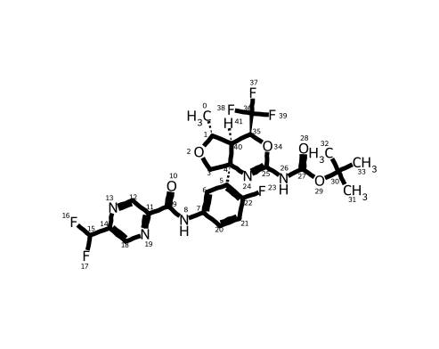 C[C@H]1OC[C@]2(c3cc(NC(=O)c4cnc(C(F)F)cn4)ccc3F)N=C(NC(=O)OC(C)(C)C)O[C@H](C(F)(F)F)[C@H]12